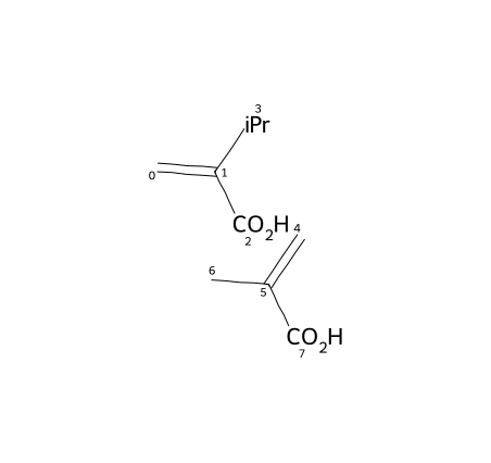 C=C(C(=O)O)C(C)C.C=C(C)C(=O)O